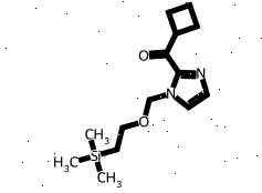 C[Si](C)(C)CCOCn1ccnc1C(=O)C1CCC1